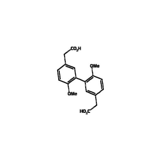 COc1ccc(CC(=O)O)cc1-c1cc(CC(=O)O)ccc1OC